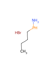 Br.CCCCPN